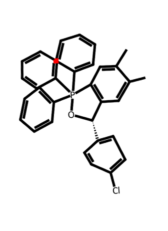 Cc1cc2c(cc1C)P(c1ccccc1)(c1ccccc1)(c1ccccc1)O[C@H]2c1ccc(Cl)cc1